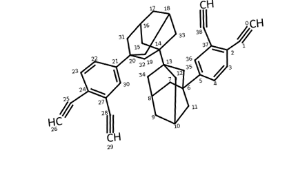 C#Cc1ccc(C23CC4CC(C2)CC(C25CC6CC(CC(c7ccc(C#C)c(C#C)c7)(C6)C2)C5)(C4)C3)cc1C#C